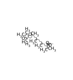 CC(C)=C(CC/C(C)=C/CC/C(C)=C/CCC1(C)CCc2c(C)c(O)c(C)c(C)c2O1)[N+](=O)[O-]